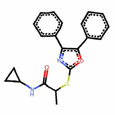 CC(Sc1nc(-c2ccccc2)c(-c2ccccc2)o1)C(=O)NC1CC1